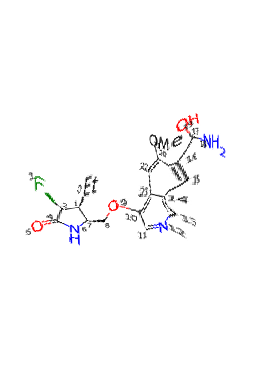 CC[C@@H]1[C@H](F)C(=O)N[C@@H]1COc1cncc2cc(C(N)O)c(OC)cc12